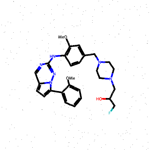 COc1cc(CN2CCN(CC(O)CF)CC2)ccc1Nc1ncc2ccc(-c3ccccc3OC)n2n1